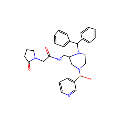 O=C(CN1CCCC1=O)NCC1CN([S+]([O-])c2cccnc2)CCN1C(c1ccccc1)c1ccccc1